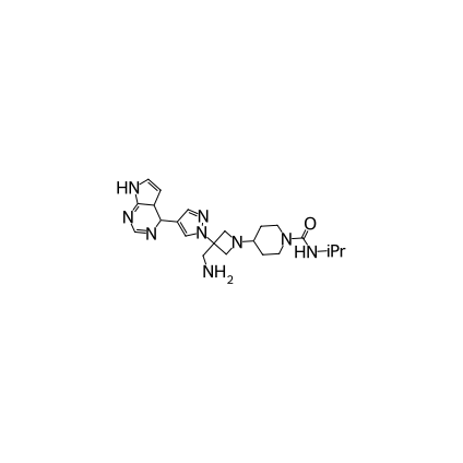 CC(C)NC(=O)N1CCC(N2CC(CN)(n3cc(C4N=CN=C5NC=CC54)cn3)C2)CC1